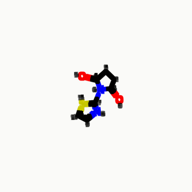 O=C1CCC(=O)N1c1nccs1